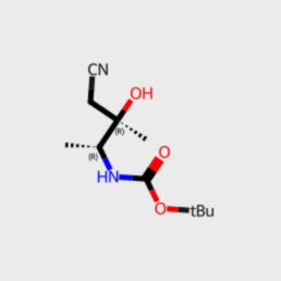 C[C@@H](NC(=O)OC(C)(C)C)[C@](C)(O)CC#N